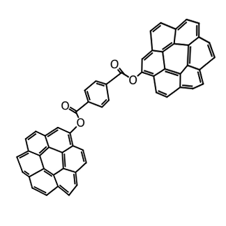 O=C(Oc1cc2ccc3ccc4ccc5ccc6ccc1c1c6c5c4c3c21)c1ccc(C(=O)Oc2cc3ccc4ccc5ccc6ccc7ccc2c2c7c6c5c4c32)cc1